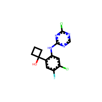 OC1(c2cc(F)c(Cl)cc2Nc2ncnc(Cl)n2)CCC1